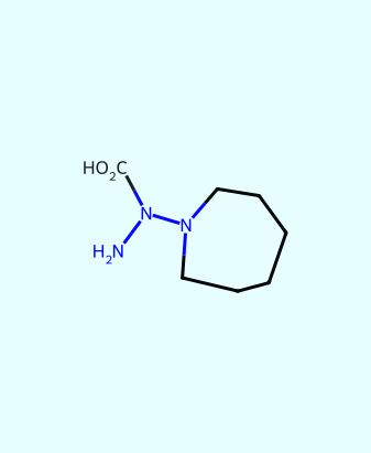 NN(C(=O)O)N1CCCCCC1